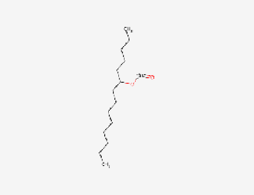 CCCCCCCCC(CCCCC)[O][Sn]=[O]